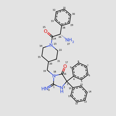 N=C1NC(c2ccccc2)(c2ccccc2)C(=O)N1CC1CCN(C(=O)[C@@H](N)c2ccccc2)CC1